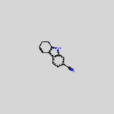 N#Cc1ccc2c3c([nH]c2c1)CCC=C3